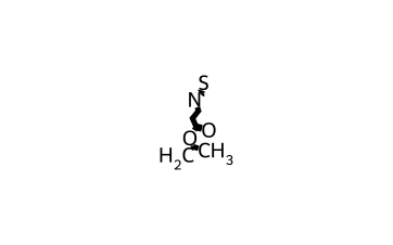 C=C(C)OC(=O)CCN=C=S